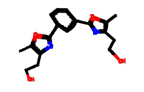 Cc1oc(-c2cccc(-c3nc(CCO)c(C)o3)c2)nc1CCO